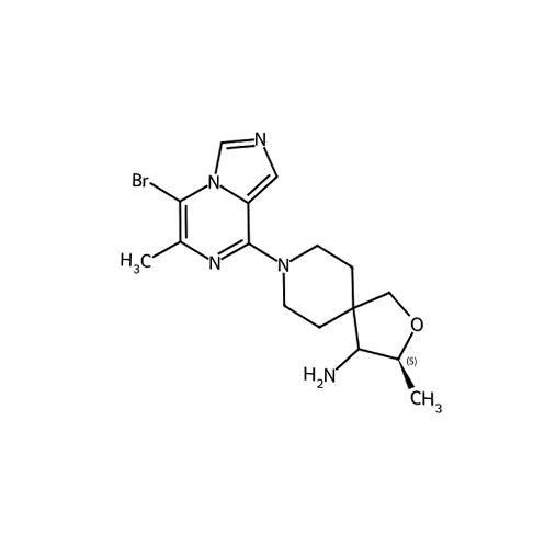 Cc1nc(N2CCC3(CC2)CO[C@@H](C)C3N)c2cncn2c1Br